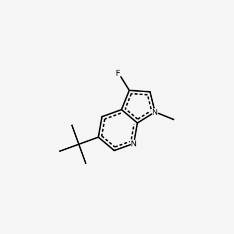 Cn1cc(F)c2cc(C(C)(C)C)cnc21